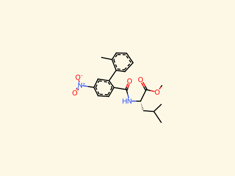 COC(=O)[C@H](CC(C)C)NC(=O)c1ccc([N+](=O)[O-])cc1-c1ccccc1C